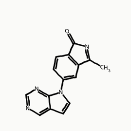 CC1=NC(=O)c2ccc(-n3ccc4cncnc43)cc21